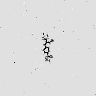 COC(=O)C(=Cc1ccc(C(=O)OC)cc1)CBr